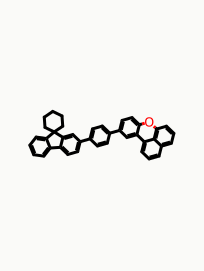 c1ccc2c(c1)-c1ccc(-c3ccc(-c4ccc5c(c4)-c4cccc6cccc(c46)O5)cc3)cc1C21CCCCC1